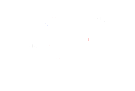 C=CCc1onc(OCCCC)c1C(O)c1occc1CO